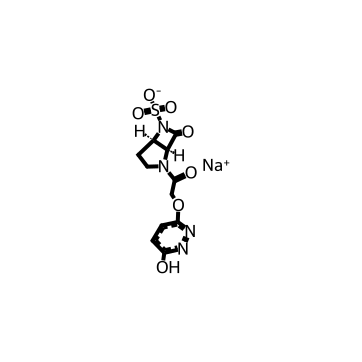 O=C(COc1ccc(O)nn1)N1CC[C@@H]2[C@H]1C(=O)N2S(=O)(=O)[O-].[Na+]